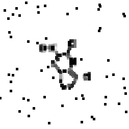 O=[C]c1nc2cccc(Cl)c2nc1Cl